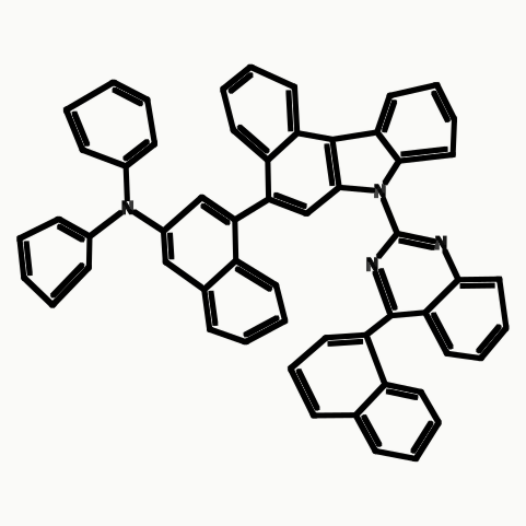 c1ccc(N(c2ccccc2)c2cc(-c3cc4c(c5ccccc35)c3ccccc3n4-c3nc(-c4cccc5ccccc45)c4ccccc4n3)c3ccccc3c2)cc1